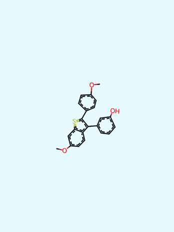 COc1ccc(-c2sc3cc(OC)ccc3c2-c2cccc(O)c2)cc1